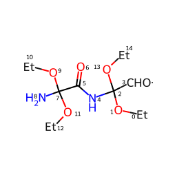 CCOC([C]=O)(NC(=O)C(N)(OCC)OCC)OCC